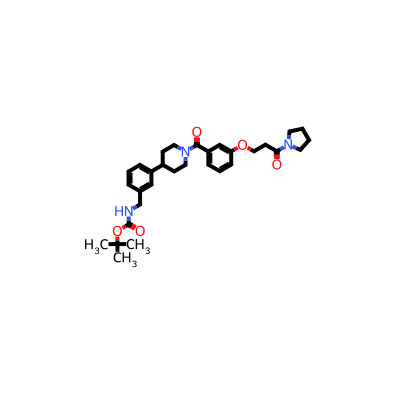 CC(C)(C)OC(=O)NCc1cccc(C2CCN(C(=O)c3cccc(OCCC(=O)N4CCCC4)c3)CC2)c1